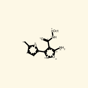 CCCCCCCCNC(=O)c1c(-c2ccc(C)o2)noc1N